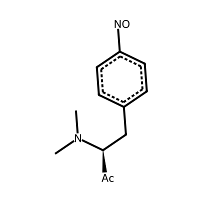 CC(=O)[C@H](Cc1ccc(N=O)cc1)N(C)C